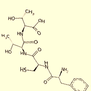 C[C@@H](O)[C@H](NC(=O)[C@@H](NC(=O)[C@H](CS)NC(=O)[C@@H](N)Cc1ccccc1)[C@@H](C)O)C(=O)O